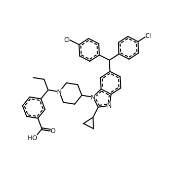 CCC(c1cccc(C(=O)O)c1)N1CCC(n2c(C3CC3)nc3ccc(C(c4ccc(Cl)cc4)c4ccc(Cl)cc4)cc32)CC1